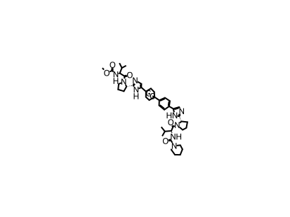 COC(=O)N[C@H](C(=O)N1CCC[C@H]1c1ncc(C23CCC(c4ccc(-c5cnc([C@@H]6CCCN6C(=O)[C@H](NC(=O)N6CCCCC6)C(C)C)[nH]5)cc4)(CC2)CC3)[nH]1)C(C)C